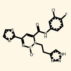 O=C(Nc1ccc(F)c(Cl)c1)C1=CC(c2nccs2)=N[S+]([O-])N1CCc1c[nH]nn1